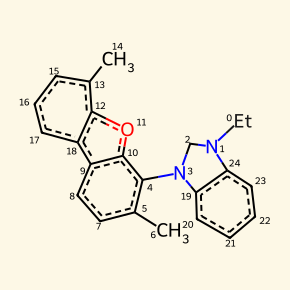 CCN1CN(c2c(C)ccc3c2oc2c(C)cccc23)c2ccccc21